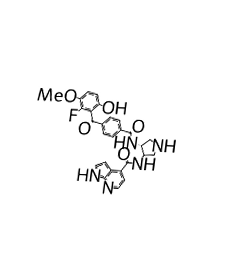 COc1ccc(O)c(C(=O)c2ccc(C(=O)N[C@@H]3CNC[C@H]3NC(=O)c3ccnc4[nH]ccc34)cc2)c1F